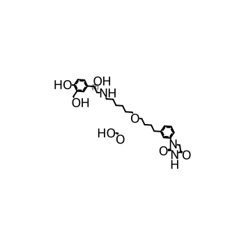 O=C1CN(c2cccc(CCCCOCCCCCCNC[C@H](O)c3ccc(O)c(CO)c3)c2)C(=O)N1.O=CO